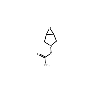 NC(=O)ON1CC2OC2C1